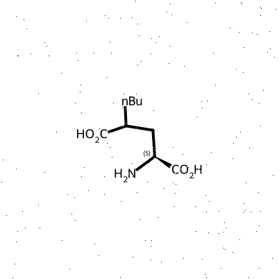 CCCCC(C[C@H](N)C(=O)O)C(=O)O